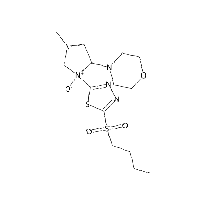 CCCCS(=O)(=O)c1nnc([N+]2([O-])CN(C)CC2N2CCOCC2)s1